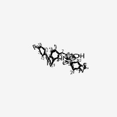 O=S(=O)(N[C@H](CO)Cc1ccc2c(cnn2-c2ccc(F)cc2)c1)c1ccc2ncsc2c1